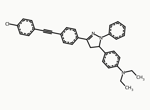 CCN(CC)c1ccc(C2CC(c3ccc(C#Cc4ccc(Cl)cc4)cc3)=NN2c2ccccc2)cc1